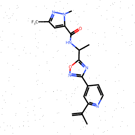 C=C(C)c1cc(-c2noc(C(C)NC(=O)c3cc(C(F)(F)F)nn3C)n2)ccn1